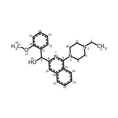 CCN1CCN(c2nc(C(O)c3ccccc3OC)cc3ccccc23)CC1